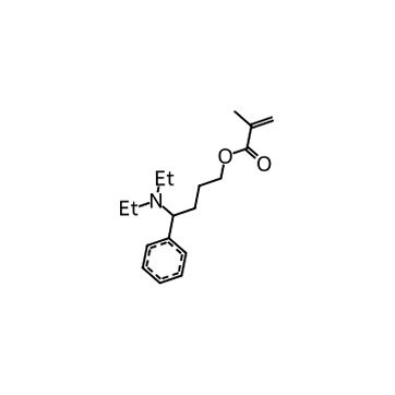 C=C(C)C(=O)OCCCC(c1ccccc1)N(CC)CC